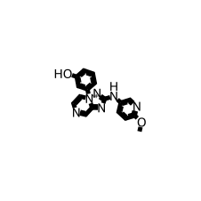 COc1ccc(NC2=N[N+]3(c4cccc(O)c4)C=CN=CC3=N2)cn1